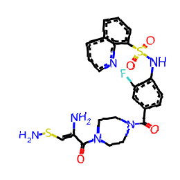 NS/C=C(\N)C(=O)N1CCN(C(=O)c2ccc(NS(=O)(=O)c3cccc4cccnc34)c(F)c2)CC1